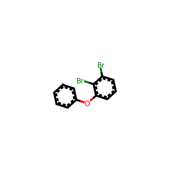 Brc1cccc(Oc2c[c]ccc2)c1Br